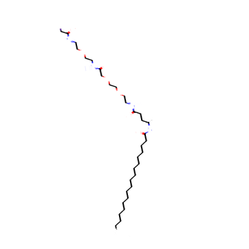 O=C(O)CCCCCCCCCCCCCCCCC(=O)N[C@@H](CCC(=O)NCCOCCOCC(=O)NCCOCCNC(=O)CI)C(=O)O